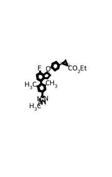 CCOC(=O)[C@H]1C[C@@H]1c1ccc(O[C@@H]2CCc3c(-c4c(C)cc(-c5nnn(C)n5)cc4C)ccc(F)c32)cc1